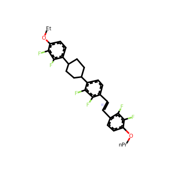 CCCOc1ccc(/C=C/c2ccc(C3CCC(c4ccc(OCC)c(F)c4F)CC3)c(F)c2F)c(F)c1F